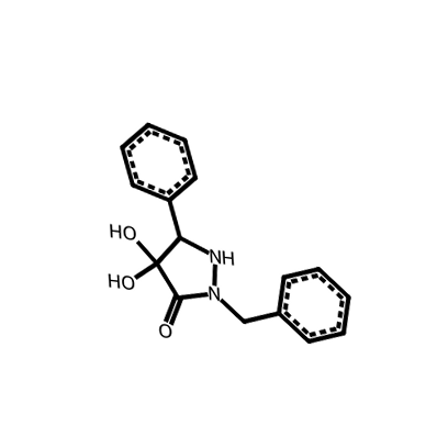 O=C1N(Cc2ccccc2)NC(c2ccccc2)C1(O)O